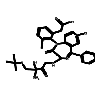 Cc1cccc(CC(=O)O)c1N1C(=O)C(NCC(=O)C(N)(S)CSC(C)(C)C)N=C(c2ccccc2)c2cc(Cl)ccc21